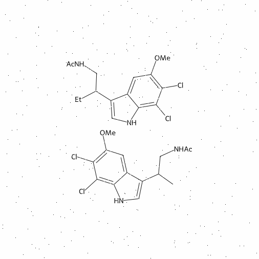 CCC(CNC(C)=O)c1c[nH]c2c(Cl)c(Cl)c(OC)cc12.COc1cc2c(C(C)CNC(C)=O)c[nH]c2c(Cl)c1Cl